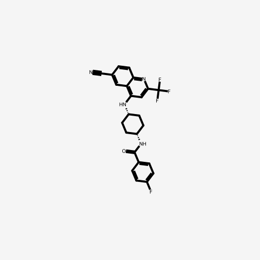 N#Cc1ccc2nc(C(F)(F)F)cc(N[C@H]3CC[C@@H](NC(=O)c4ccc(F)cc4)CC3)c2c1